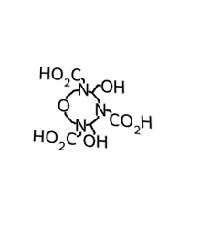 O=C(O)CN1CC(CO)N(CC(=O)O)CCOCCN(CC(=O)O)C(CO)C1